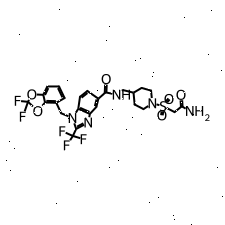 NC(=O)CS(=O)(=O)N1CCC(CNC(=O)c2ccc3c(c2)nc(C(F)(F)F)n3Cc2cccc3c2OC(F)(F)O3)CC1